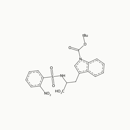 CC(C)(C)OC(=O)n1cc(CC(NS(=O)(=O)c2ccccc2[N+](=O)[O-])C(=O)O)c2ccccc21